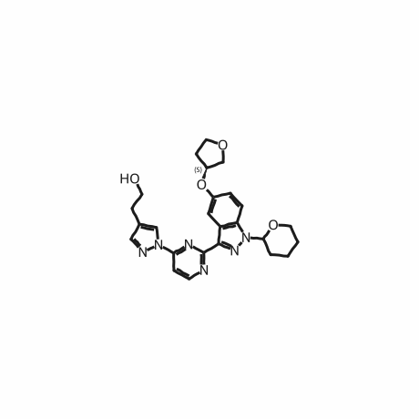 OCCc1cnn(-c2ccnc(-c3nn(C4CCCCO4)c4ccc(O[C@H]5CCOC5)cc34)n2)c1